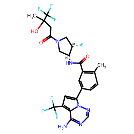 Cc1ccc(-c2cc(C(F)(F)F)c3c(N)ncnn23)cc1C(=O)N[C@@H]1CN(C(=O)CC(C)(O)C(F)(F)F)C[C@@H]1F